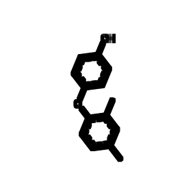 Cc1ccc(Oc2ccc(O)cc2)c(C)c1